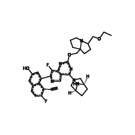 C#Cc1c(F)ccc2cc(O)cc(-c3ncc4c(N5C[C@H]6CC[C@@H](C5)N6)nc(OCC56CCCN5C(COCC)CC6)nc4c3F)c12